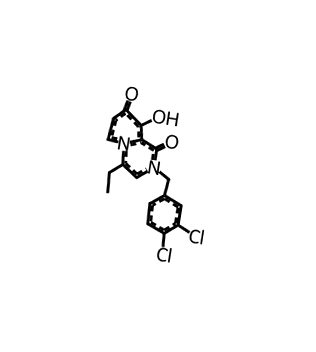 CCc1cn(Cc2ccc(Cl)c(Cl)c2)c(=O)c2c(O)c(=O)ccn12